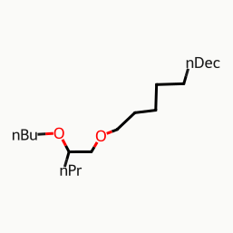 CCCCCCCCCCCCCCCOCC(CCC)OCCCC